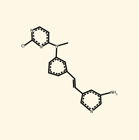 CN(c1cccc(C=Cc2cncc(N)c2)c1)c1ccnc(Cl)n1